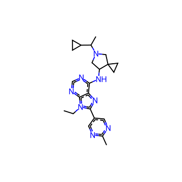 CCn1c(-c2cnc(C)nc2)nc2c(NC3CN(C(C)C4CC4)CC34CC4)ncnc21